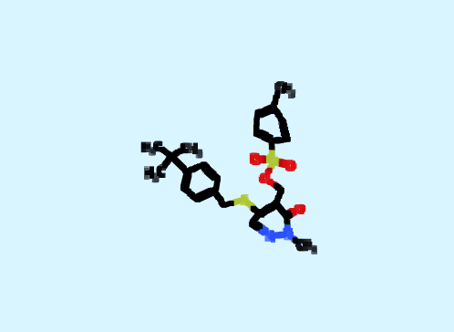 Cc1ccc(S(=O)(=O)OCc2c(SCc3ccc(C(C)(C)C)cc3)cnn(C)c2=O)cc1